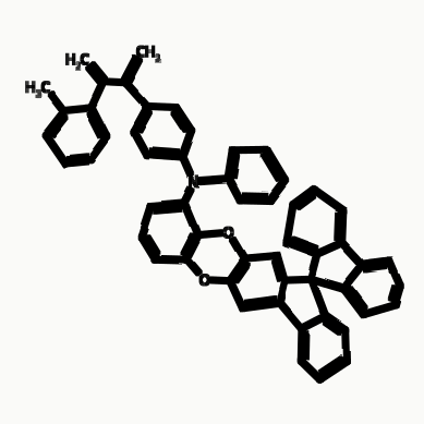 C=C(C(=C)c1ccccc1C)c1ccc(N(c2ccccc2)c2cccc3c2Oc2cc4c(cc2O3)-c2ccccc2C42c3ccccc3-c3ccccc32)cc1